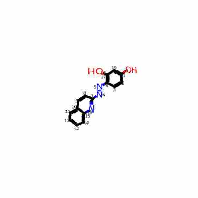 Oc1ccc(/N=N/c2ccc3ccccc3n2)c(O)c1